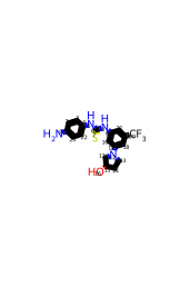 Nc1ccc(NC(=S)Nc2cc(N3CCC(O)C3)cc(C(F)(F)F)c2)cc1